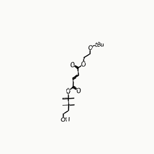 CC(C)(C)OCCOC(=O)/C=C/C(=O)OC(C)(C)C(C)(C)CCO